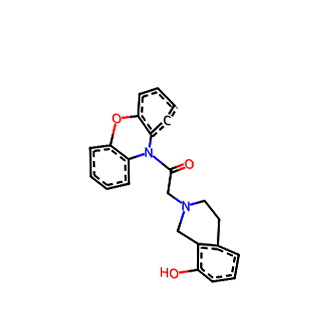 O=C(CN1CCc2cccc(O)c2C1)N1c2ccccc2Oc2ccccc21